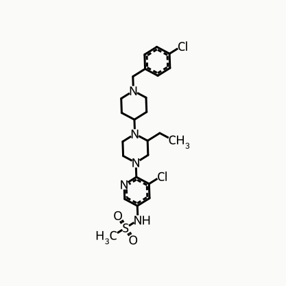 CCC1CN(c2ncc(NS(C)(=O)=O)cc2Cl)CCN1C1CCN(Cc2ccc(Cl)cc2)CC1